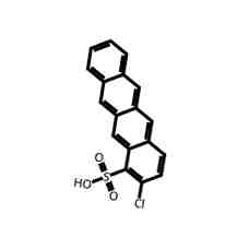 O=S(=O)(O)c1c(Cl)ccc2cc3cc4ccccc4cc3cc12